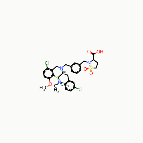 COc1ccc(Cl)c(CN(Cc2cccc(CN3C(C(=O)O)CCS3(=O)=O)c2)[C@@H](Cc2cccc(Cl)c2)CN(C)C)c1F